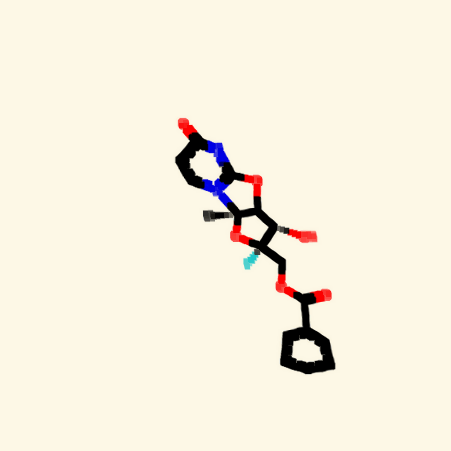 O=C(OC[C@@]1(F)O[C@@H]2C(Oc3nc(=O)ccn32)[C@@H]1O)c1ccccc1